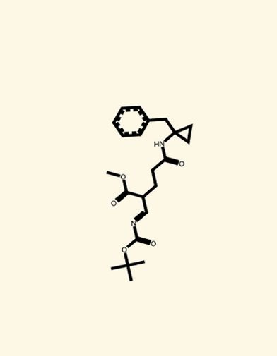 COC(=O)C(/C=N/C(=O)OC(C)(C)C)CCC(=O)NC1(Cc2ccccc2)CC1